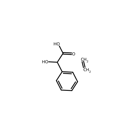 C=C.O=C(O)C(O)c1ccccc1